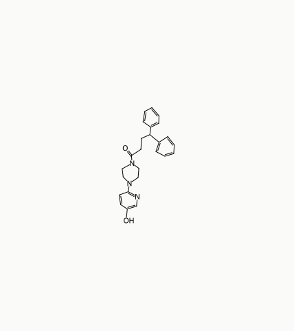 O=C(CCC(c1ccccc1)c1ccccc1)N1CCN(c2ccc(O)cn2)CC1